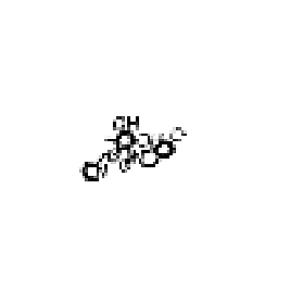 COc1ccc2c(c1)CN(C(=O)c1c(O)cc(O)c(C)c1OCc1ccccn1)CC2